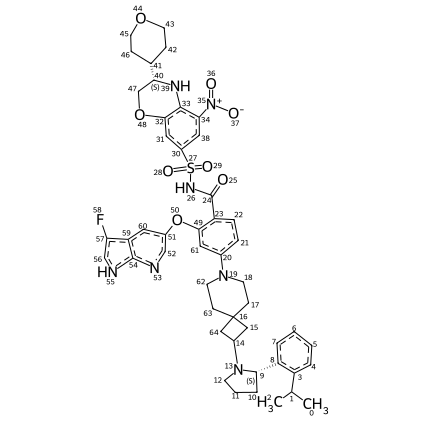 CC(C)c1ccccc1[C@@H]1CCCN1C1CC2(CCN(c3ccc(C(=O)NS(=O)(=O)c4cc5c(c([N+](=O)[O-])c4)N[C@@H](C4CCOCC4)CO5)c(Oc4cnc5[nH]cc(F)c5c4)c3)CC2)C1